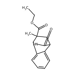 CCOC(=O)C1(C)CC2C(=O)NC1c1ccccc12